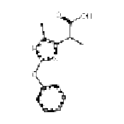 Cc1nc(Oc2ccccc2)sc1C(C)C(=O)O